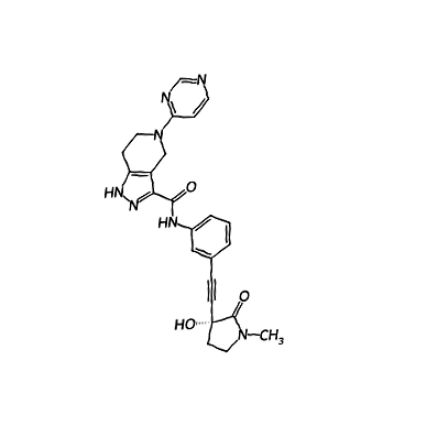 CN1CC[C@@](O)(C#Cc2cccc(NC(=O)c3n[nH]c4c3CN(c3ccncn3)CC4)c2)C1=O